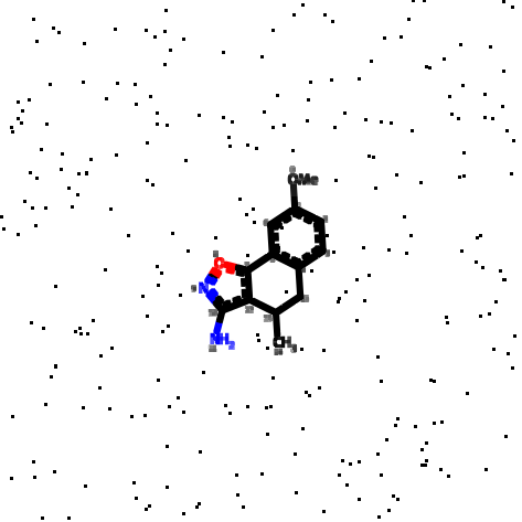 COc1ccc2c(c1)-c1onc(N)c1C(C)C2